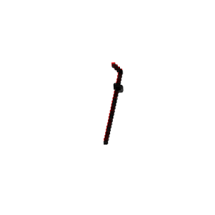 CCCCCC/C=C\CCCCCCCCOC(=O)CCCCCCCCCCCCCCCCCCCCCCCCCCCCCCCCCCC